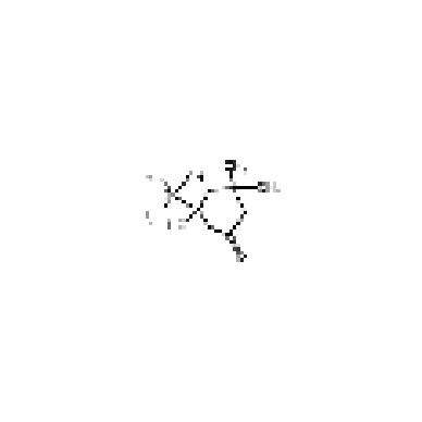 CC1(C)CC(=O)C[C](C)([Sn]([CH3])([CH3])[CH3])C1